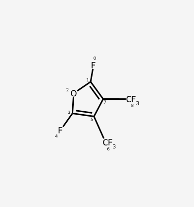 Fc1oc(F)c(C(F)(F)F)c1C(F)(F)F